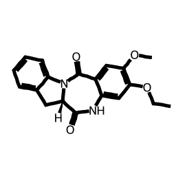 CCOc1cc2c(cc1OC)C(=O)N1c3ccccc3C[C@H]1C(=O)N2